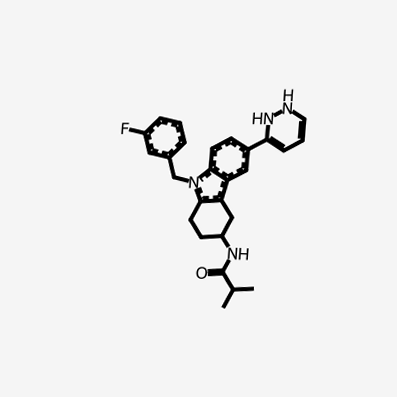 CC(C)C(=O)NC1CCc2c(c3cc(C4=CC=CNN4)ccc3n2Cc2cccc(F)c2)C1